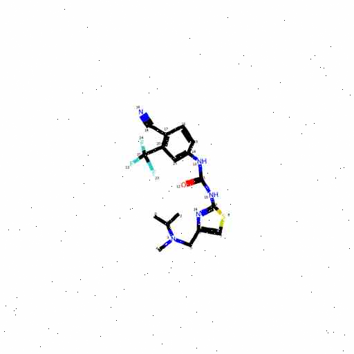 CC(C)N(C)Cc1csc(NC(=O)Nc2ccc(C#N)c(C(F)(F)F)c2)n1